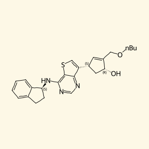 CCCCOCC1=C[C@@H](c2csc3c(N[C@H]4CCc5ccccc54)ncnc23)C[C@H]1O